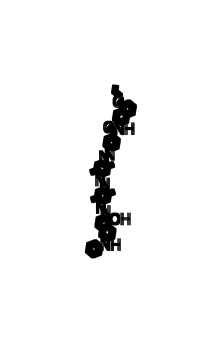 CCCOc1cccc2cc(NC(=O)c3ccc(N=Nc4cc(C)c(N=Nc5cc(C)c(N=Nc6ccc7cc(Nc8ccccc8)ccc7c6O)cc5C)cc4C)cc3)ccc12